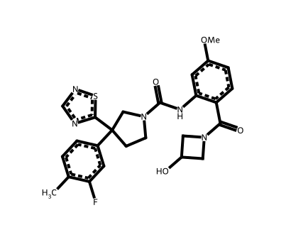 COc1ccc(C(=O)N2CC(O)C2)c(NC(=O)N2CCC(c3ccc(C)c(F)c3)(c3ncns3)C2)c1